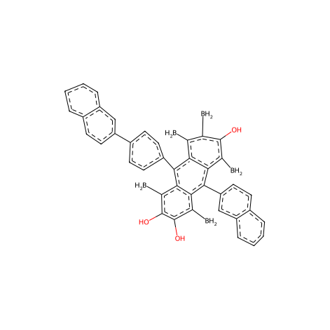 Bc1c(O)c(B)c2c(-c3ccc4ccccc4c3)c3c(B)c(O)c(O)c(B)c3c(-c3ccc(-c4ccc5ccccc5c4)cc3)c2c1B